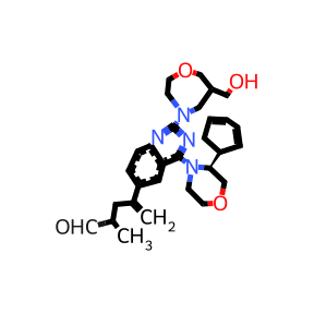 C=C(CC(C)C=O)c1ccc2nc(N3CCOCC(CO)C3)nc(N3CCOC[C@@H]3C3C=CC=CC3)c2c1